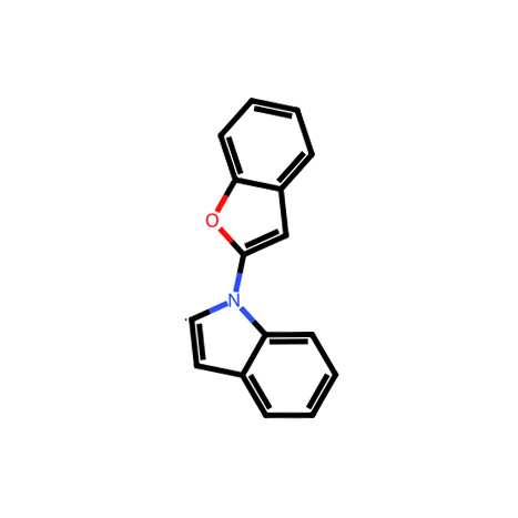 [c]1cc2ccccc2n1-c1cc2ccccc2o1